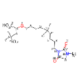 CCCCC(C)(C)CC(OCCCCC(C)(C)CCCCN1C(=O)CN(CC)C1=O)C(=O)O